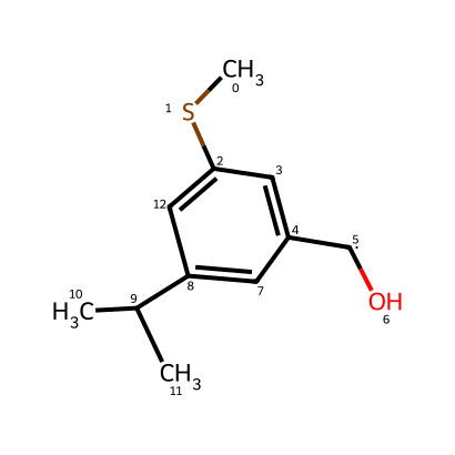 CSc1cc([CH]O)cc(C(C)C)c1